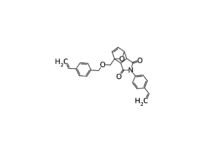 C=Cc1ccc(COCC23C=CC(O2)C2C(=O)N(c4ccc(C=C)cc4)C(=O)C23)cc1